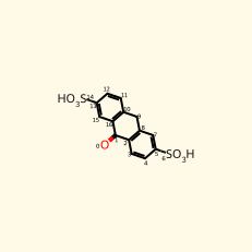 O=C1c2ccc(S(=O)(=O)O)cc2Cc2ccc(S(=O)(=O)O)cc21